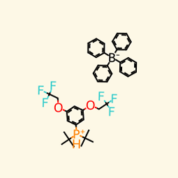 CC(C)(C)[PH+](c1cc(OCC(F)(F)F)cc(OCC(F)(F)F)c1)C(C)(C)C.c1ccc([B-](c2ccccc2)(c2ccccc2)c2ccccc2)cc1